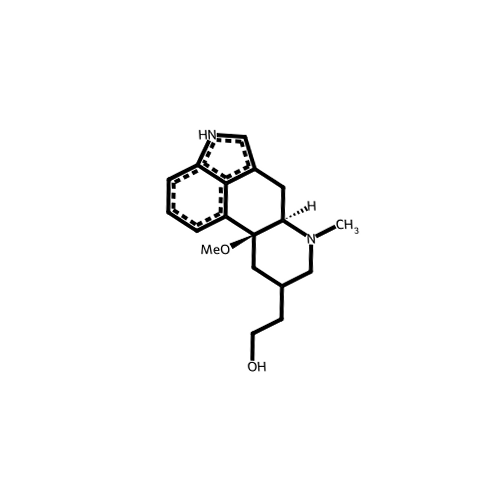 CO[C@]12CC(CCO)CN(C)[C@@H]1Cc1c[nH]c3cccc2c13